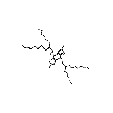 CCCCCCCCC(CCCCCC)COc1c2cc(C)sc2c(OCC(CCCCCC)CCCCCCCC)c2cc(C)sc12